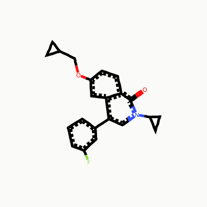 O=c1c2ccc(OCC3CC3)cc2c(-c2cccc(F)c2)cn1C1CC1